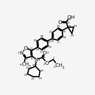 CCOC(=O)N(c1c(C)noc1-c1ccc(-c2ccc(C3(C(=O)O)CC3)cc2)cc1)C1CCCCC1